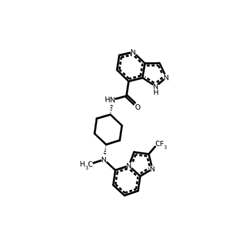 CN(c1cccc2nc(C(F)(F)F)cn12)[C@H]1CC[C@@H](NC(=O)c2ccnc3cn[nH]c23)CC1